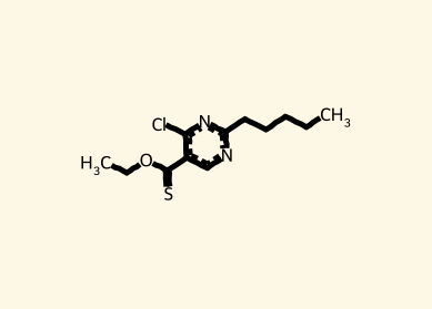 CCCCCc1ncc(C(=S)OCC)c(Cl)n1